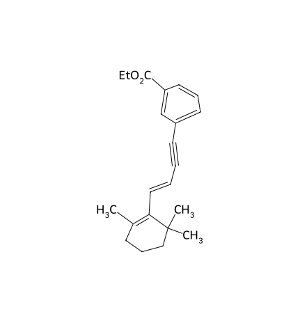 CCOC(=O)c1cccc(C#CC=CC2=C(C)CCCC2(C)C)c1